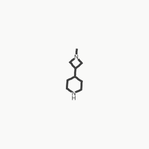 CN1CC(C2CCNCC2)C1